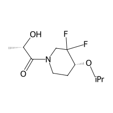 CC(C)O[C@@H]1CCN(C(=O)[C@H](C)O)CC1(F)F